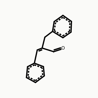 O=[C]C(=Cc1ccccc1)Cc1ccccc1